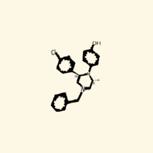 C[C@@H]1CN(Cc2ccccc2)C[C@@H](c2ccc(Cl)cc2)N1c1ccc(O)cc1